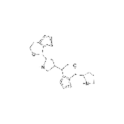 c1cc2c(s1)[C@H]([C@@H]1CC(C3CO[C@H]([C@@H]4CCCN4)c4sccc43)CN1)OCC2